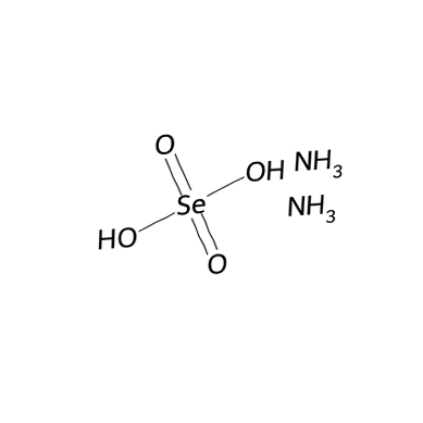 N.N.O=[Se](=O)(O)O